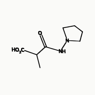 CC(C(=O)O)C(=O)NN1CCCC1